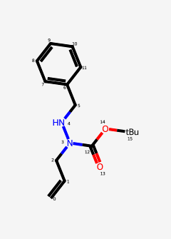 C=CCN(NCc1ccccc1)C(=O)OC(C)(C)C